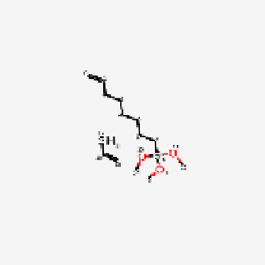 C=CCCCCCC[Si](OC)(OC)OC.C=C[SiH3]